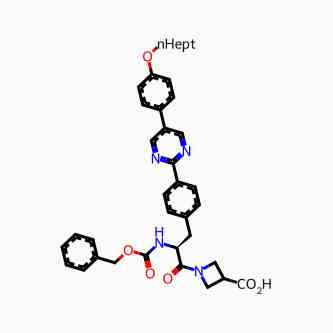 CCCCCCCOc1ccc(-c2cnc(-c3ccc(C[C@H](NC(=O)OCc4ccccc4)C(=O)N4CC(C(=O)O)C4)cc3)nc2)cc1